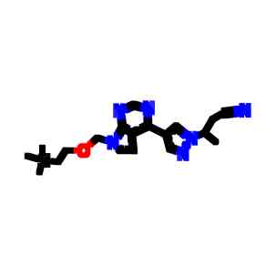 CC(CC#N)n1cc(-c2ncnc3c2ccn3COCC[Si](C)(C)C)cn1